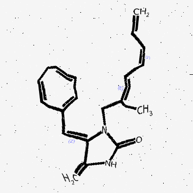 C=C/C=C\C=C(/C)Cn1c(=O)[nH]c(=C)/c1=C/c1ccccc1